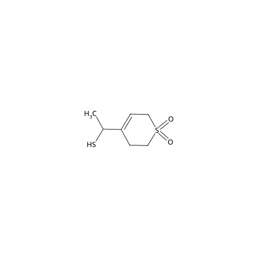 CC(S)C1=CCS(=O)(=O)CC1